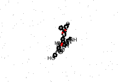 CO[C@@]1(C)CCN(C2CC3(CCN(c4ccc(C(=O)NS(=O)(=O)c5ccc(NC[C@H]6CC[C@](C)(O)CC6)c([N+](=O)[O-])c5)c(N5c6cc7cc[nH]c7nc6O[C@H]6COCC[C@@H]65)c4)CC3)C2)[C@H](c2ccccc2C(C)C)C1